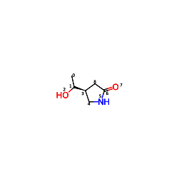 CC(O)[C@@H]1CNC(=O)C1